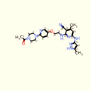 CC(=O)N1CCN(c2ccc(OCCNc3nc(Nc4cc(C)[nH]n4)cc(C)c3C#N)cn2)CC1